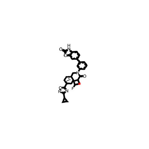 O=C(N(CC12CCC(c3nc(C4CC4)no3)(CC1)CC2)c1cccc(-c2ccc3[nH]c(=O)oc3c2)c1)C12CC(F)(C1)C2